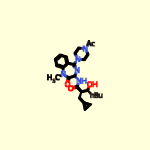 CCCC[C@H](O)[C@@H](CC1CC1)C(=O)N[C@@H]1N=C(N2CCN(C(C)=O)CC2)c2ccccc2N(C)C1=O